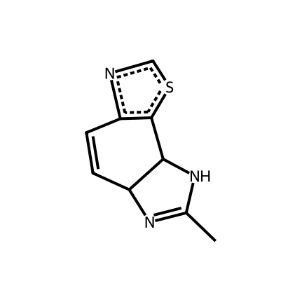 CC1=NC2C=Cc3ncsc3C2N1